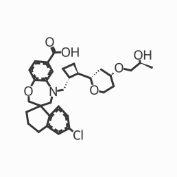 C[C@H](O)CO[C@@H]1CCO[C@H]([C@@H]2CC[C@H]2CN2CC3(CCCc4cc(Cl)ccc43)COc3ccc(C(=O)O)cc32)C1